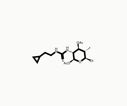 CC[C@H]1O[C@@H](OC(C)=O)[C@H](NC(=S)NCCC2CC2)[C@@H](OC(C)=O)[C@@H]1C